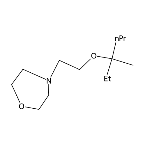 CCCC(C)(CC)OCCN1CCOCC1